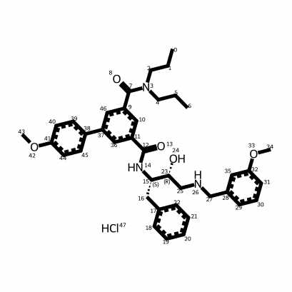 CCCN(CCC)C(=O)c1cc(C(=O)N[C@@H](Cc2ccccc2)[C@H](O)CNCc2cccc(OC)c2)cc(-c2ccc(OC)cc2)c1.Cl